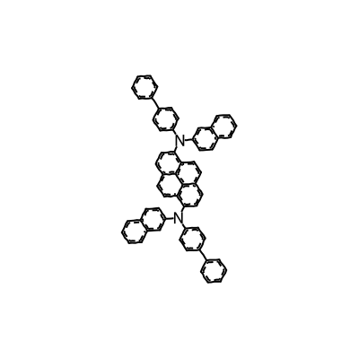 c1ccc(-c2ccc(N(c3ccc4ccccc4c3)c3ccc4ccc5c(N(c6ccc(-c7ccccc7)cc6)c6ccc7ccccc7c6)ccc6ccc3c4c65)cc2)cc1